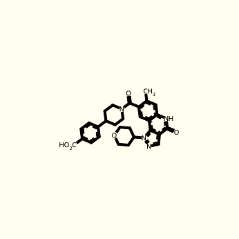 Cc1cc2[nH]c(=O)c3cnn(C4CCOCC4)c3c2cc1C(=O)N1CCC(c2ccc(C(=O)O)cc2)CC1